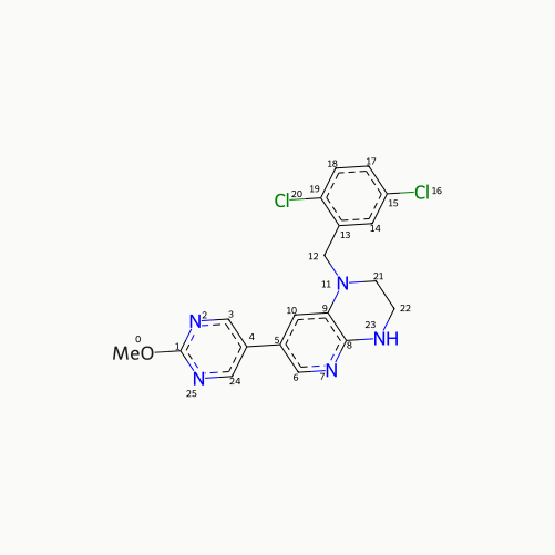 COc1ncc(-c2cnc3c(c2)N(Cc2cc(Cl)ccc2Cl)CCN3)cn1